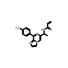 C=CC(=O)NC(C)c1cn2ccnc2c(-c2ccc(C(F)(F)F)cc2)n1